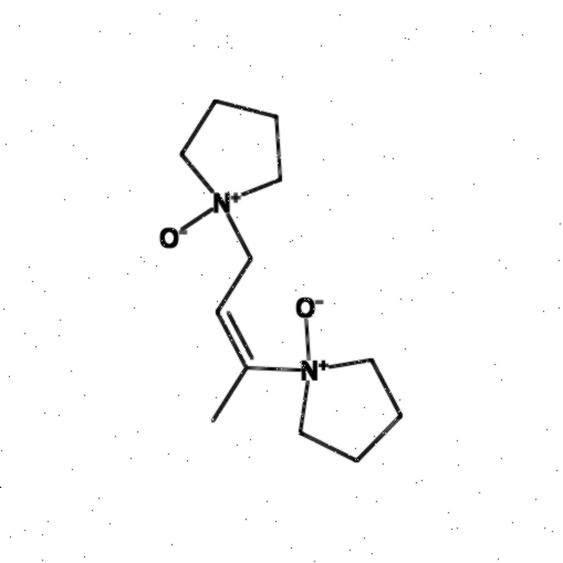 CC(=CC[N+]1([O-])CCCC1)[N+]1([O-])CCCC1